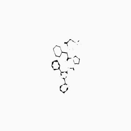 CN[C@@H](C)C(=O)N[C@H](C(=O)N1CCC[C@H]1C(=O)Nc1sc(-c2ccccn2)nc1-c1ccccc1)C1CCCCC1